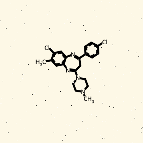 Cc1cc2c(cc1Cl)N=C(c1ccc(Cl)cc1)CC(N1CCN(C)CC1)=N2